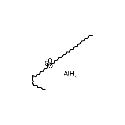 CCCCC/C=C\C/C=C\CCCCCCCC(=O)OC(=O)CCCCCCCCCCCCCCCCCCCCC.[AlH3]